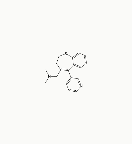 CN(C)CC1=C(c2cccnc2)c2ccccc2SCC1